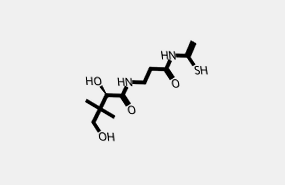 C=C(S)NC(=O)CCNC(=O)[C@H](O)C(C)(C)CO